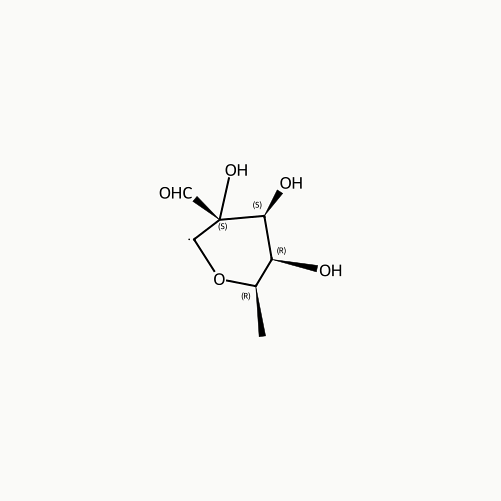 C[C@H]1O[CH][C@@](O)(C=O)[C@@H](O)[C@H]1O